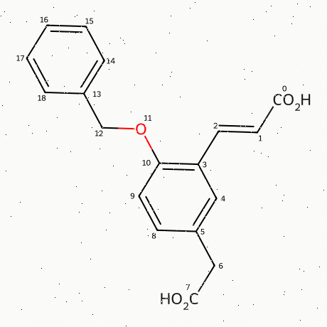 O=C(O)C=Cc1cc(CC(=O)O)ccc1OCc1ccccc1